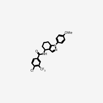 COc1ccc(-n2ncc3c2CCCC3NC(=O)c2ccc(Cl)c(C(F)(F)F)c2)cc1